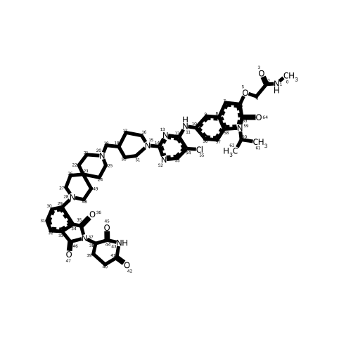 CNC(=O)COc1cc2cc(Nc3nc(N4CCC(CN5CCC6(CC5)CCN(c5cccc7c5C(=O)N(C5CCC(=O)NC5=O)C7=O)CC6)CC4)ncc3Cl)ccc2n(C(C)C)c1=O